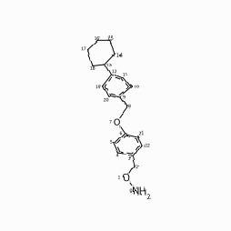 NOCc1ccc(OCc2ccc(C3CCCCC3)cc2)cc1